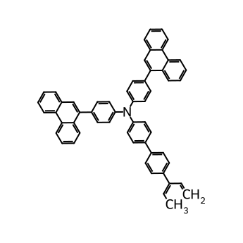 C=C/C(=C\C)c1ccc(-c2ccc(N(c3ccc(-c4cc5ccccc5c5ccccc45)cc3)c3ccc(-c4cc5ccccc5c5ccccc45)cc3)cc2)cc1